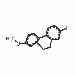 COc1ccc2c(c1)CCc1cc(F)ccc1-2